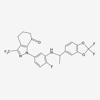 CC(Nc1cc(-n2nc(C(F)(F)F)c3c2C(=O)CCC3)ccc1F)c1ccc2c(c1)OC(F)(F)O2